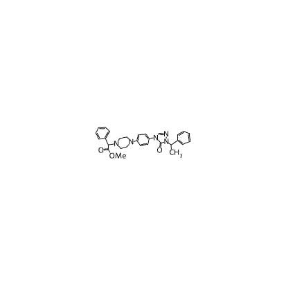 COC(=O)C(c1ccccc1)N1CCN(c2ccc(-n3cnn(C(C)c4ccccc4)c3=O)cc2)CC1